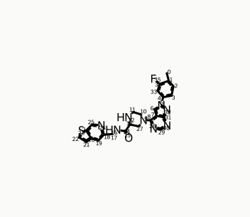 Cc1ccc(-n2cc3c(N4CCNC(C(=O)NCc5cc6ccsc6cn5)C4)ncnc3n2)cc1F